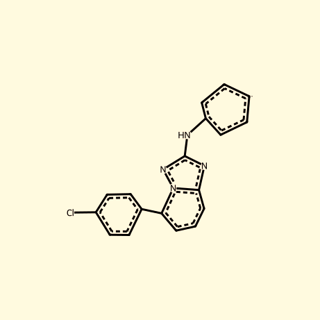 Clc1ccc(-c2cccc3nc(Nc4cc[c]cc4)nn23)cc1